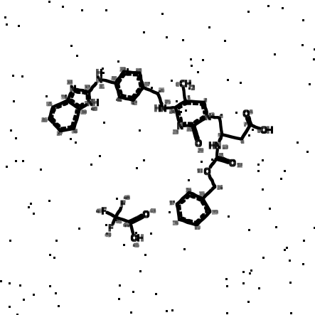 Cc1cn(CC(CC(=O)O)NC(=O)OCc2ccccc2)c(=O)nc1NCc1ccc(Nc2nc3ccccc3[nH]2)cc1.O=C(O)C(F)(F)F